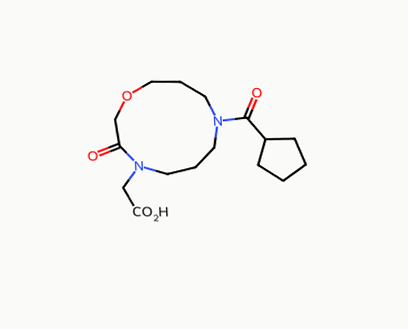 O=C(O)CN1CCCN(C(=O)C2CCCC2)CCCOCC1=O